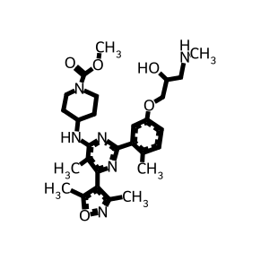 CNCC(O)COc1ccc(C)c(-c2nc(NC3CCN(C(=O)OC)CC3)c(C)c(-c3c(C)noc3C)n2)c1